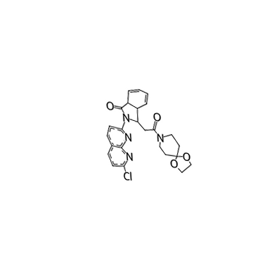 O=C(CC1C2C=CC=CC2C(=O)N1c1ccc2ccc(Cl)nc2n1)N1CCC2(CC1)OCCO2